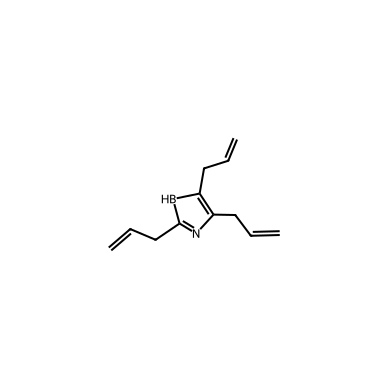 C=CCC1=NC(CC=C)=C(CC=C)B1